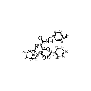 O=C(Oc1c(C(=O)NCc2ccc(F)cc2)nc2n(c1=O)CC1CCC2C1)c1ccccc1